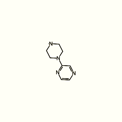 c1cnc(N2CC[N]CC2)cn1